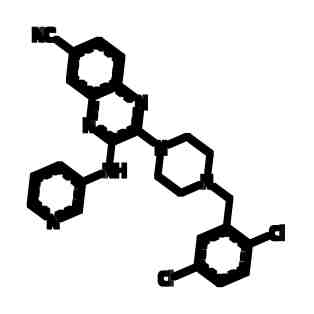 N#Cc1ccc2nc(N3CCN(Cc4cc(Cl)ccc4Cl)CC3)c(Nc3cccnc3)nc2c1